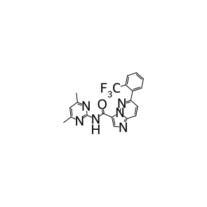 Cc1cc(C)nc(NC(=O)c2cnc3ccc(-c4ccccc4C(F)(F)F)nn23)n1